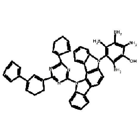 Bc1c(B)c(O)c(B)c(-n2c3ccccc3c3c2ccc2c4ccccc4n(-c4nc(C5=CCCC=C5)nc(C5=CC(c6ccccc6)=CCC5)n4)c23)c1B